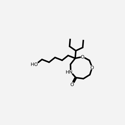 CCC(CC)C1(CCCCCO)CNC(=O)CCOCO1